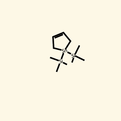 C[Si](C)(C)[Sn]1([Si](C)(C)C)[CH2]C=C[CH2]1